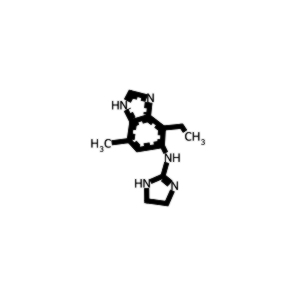 CCc1c(NC2=NCCN2)cc(C)c2[nH]cnc12